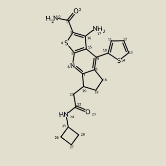 NC(=O)c1sc2nc3c(c(-c4cccs4)c2c1N)CCC3CC(=O)NC1CCC1